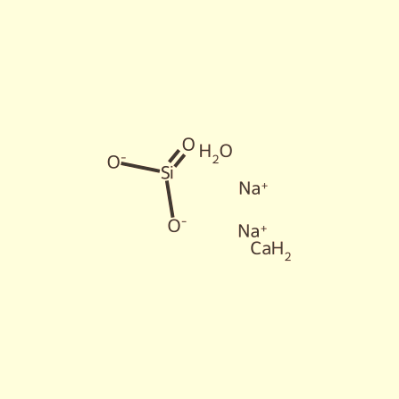 O.O=[Si]([O-])[O-].[CaH2].[Na+].[Na+]